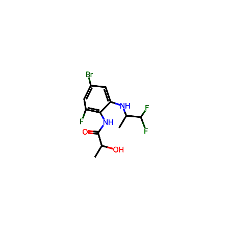 CC(O)C(=O)Nc1c(F)cc(Br)cc1NC(C)C(F)F